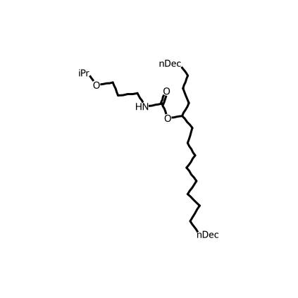 CCCCCCCCCCCCCCCCCCC(CCCCCCCCCCCCC)OC(=O)NCCCOC(C)C